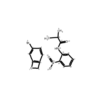 Brc1ccc2c(c1)OC2.CC(C)C(=O)Nc1ccccc1[N+](=O)[O-]